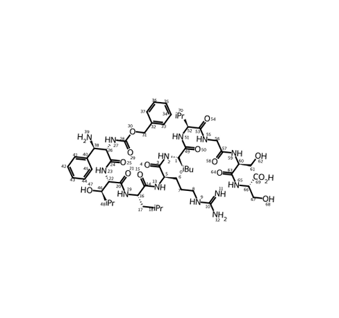 CC[C@H](C)[C@H](NC(=O)[C@@H](CCCNC(=N)N)NC(=O)[C@H](CC(C)C)NC(=O)[C@@H](NC(=O)[C@@H](NC(=O)OCc1ccccc1)[C@H](N)c1ccccc1)[C@H](O)C(C)C)C(=O)N[C@H](C(=O)NCC(=O)N[C@@H](CO)C(=O)N[C@@H](CO)C(=O)O)C(C)C